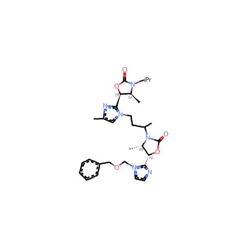 Cc1cn(CCC(C)N2C(=O)O[C@H](c3nccn3COCc3ccccc3)[C@@H]2C)c([C@H]2OC(=O)N(C(C)C)[C@H]2C)n1